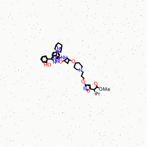 COC(=O)C(c1cc(OCCCN2CCC(OC3CC(Oc4cc(N5C6CCC5CN(c5cc(-c7ccccc7O)nnc5N)C6)ccn4)C3)CC2)no1)C(C)C